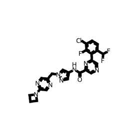 O=C(Nc1cnn(Cc2cnc(N3CCC3)cn2)c1)c1cncc(-c2c(C(F)F)ccc(Cl)c2F)n1